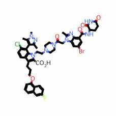 Cc1nn(C)c(C)c1-c1c(Cl)ccc2c(CCCOc3cccc4cc(F)ccc34)c(C(=O)O)n(CCN3CCN(C(=O)Cn4c(C)nc5c(C(=O)NC6CCC(=O)NC6=O)cc(Br)cc54)CC3)c12